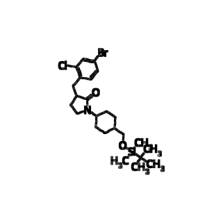 CC(C)(C)[Si](C)(C)OCC1CCC(N2CCC(Cc3ccc(Br)cc3Cl)C2=O)CC1